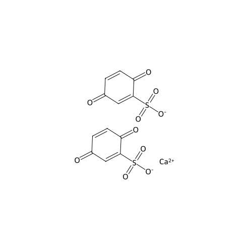 O=C1C=CC(=O)C(S(=O)(=O)[O-])=C1.O=C1C=CC(=O)C(S(=O)(=O)[O-])=C1.[Ca+2]